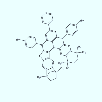 CC(C)(C)c1ccc(N2c3cc4c(cc3B3c5c2cc(-c2ccccc2)cc5N(c2ccc(C(C)(C)C)cc2)c2sc5cc6c(cc5c23)C2(C)CCC6(C)C2)C(C)(C)CCC4(C)C)cc1